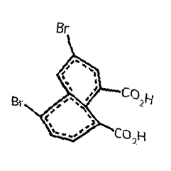 O=C(O)c1ccc(Br)c2cc(Br)cc(C(=O)O)c12